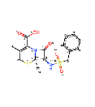 CC1=C(C(=O)O)N2C(=O)[C@@H](NS(=O)(=O)Cc3ccccc3)[C@H]2SC1